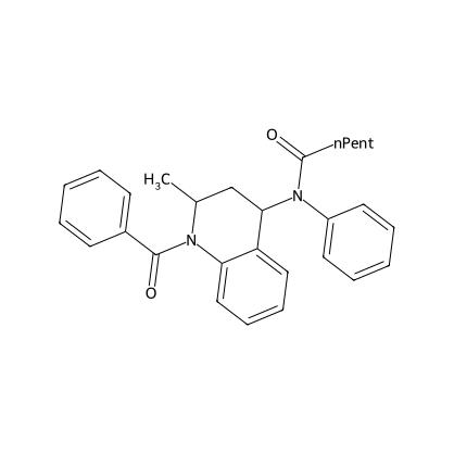 CCCCCC(=O)N(c1ccccc1)C1CC(C)N(C(=O)c2ccccc2)c2ccccc21